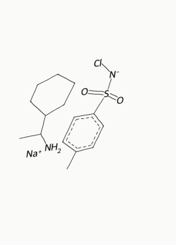 CC(N)C1CCCCC1.Cc1ccc(S(=O)(=O)[N-]Cl)cc1.[Na+]